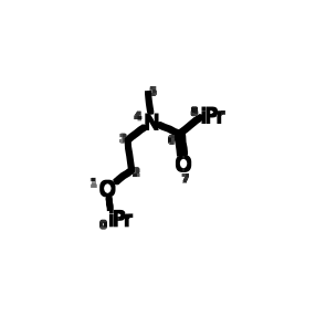 CC(C)OCCN(C)C(=O)C(C)C